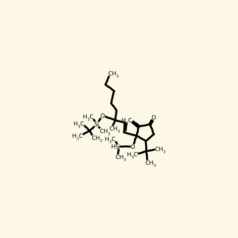 C=C1C(=O)CC(C(C)(C)C)C1(C=CC(C)(CCCCC)O[Si](C)(C)C(C)(C)C)O[SiH](C)C